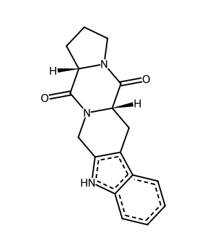 O=C1[C@@H]2Cc3c([nH]c4ccccc34)CN2C(=O)[C@@H]2CCCN12